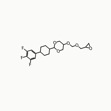 Fc1cc(C2CCC(C3OCC(OCOCC4CO4)CO3)CC2)cc(F)c1F